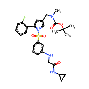 CN(Cc1cc(-c2ccccc2F)n(S(=O)(=O)c2cccc(NCC(=O)NC3CC3)c2)c1)C(=O)OC(C)(C)C